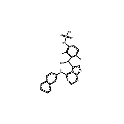 CCCS(=O)(=O)Nc1ccc(F)c(C(O)c2c[nH]c3ncnc(Nc4ccc5ccccc5c4)c23)c1F